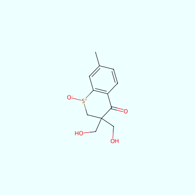 Cc1ccc2c(c1)[S+]([O-])CC(CO)(CO)C2=O